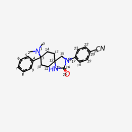 CN(C)C1(c2ccccc2)CCC2(CC1)CN(c1ccc(C#N)cc1)C(=O)N2